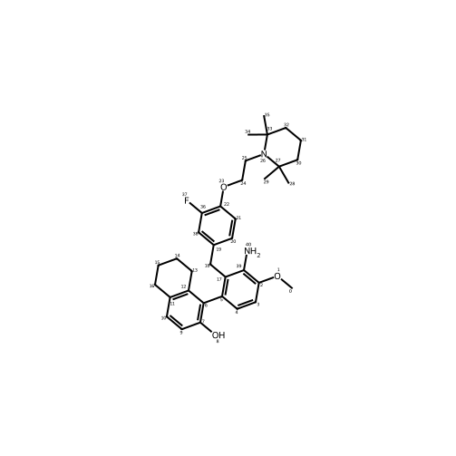 COc1ccc(-c2c(O)ccc3c2CCCC3)c(Cc2ccc(OCCN3C(C)(C)CCCC3(C)C)c(F)c2)c1N